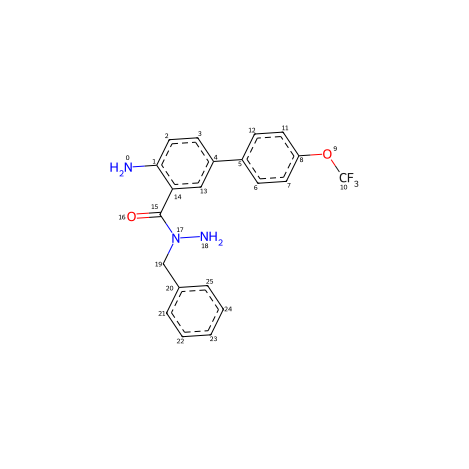 Nc1ccc(-c2ccc(OC(F)(F)F)cc2)cc1C(=O)N(N)Cc1ccccc1